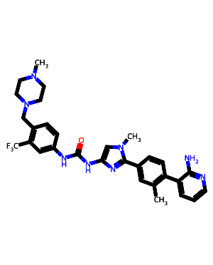 Cc1cc(-c2nc(NC(=O)Nc3ccc(CN4CCN(C)CC4)c(C(F)(F)F)c3)cn2C)ccc1-c1cccnc1N